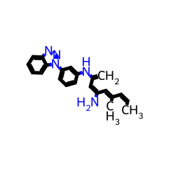 C=C(\C=C(N)/C=C(C)/C=C\C)Nc1cccc(-n2nnc3ccccc32)c1